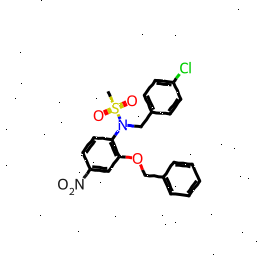 CS(=O)(=O)N(Cc1ccc(Cl)cc1)c1ccc([N+](=O)[O-])cc1OCc1ccccc1